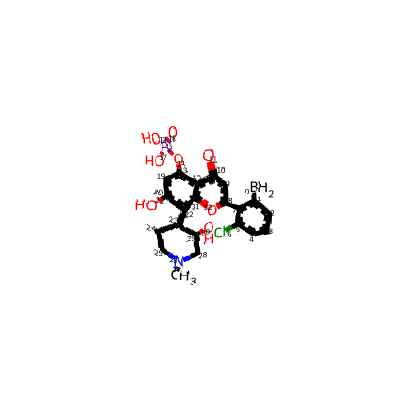 Bc1cccc(Cl)c1-c1cc(=O)c2c(OP(=O)(O)O)cc(O)c(C3CCN(C)CC3O)c2o1